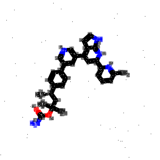 Cc1cccc(-c2cc(-c3cncc(-c4ccc([C@@H](C)CC(C)(C)OC(N)=O)cc4)c3)c3cc[nH]c3n2)n1